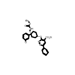 CCOC(=O)c1cc(-c2ccccc2)nnc1O[C@H]1CC[C@](CNC(=O)OC(C)(C)C)(c2cccc(Cl)c2)CC1